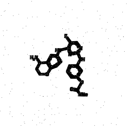 CNC(=O)Oc1cccc(Nc2ncc(F)c(Nc3ccc4c(c3)C(N)CCO4)n2)c1